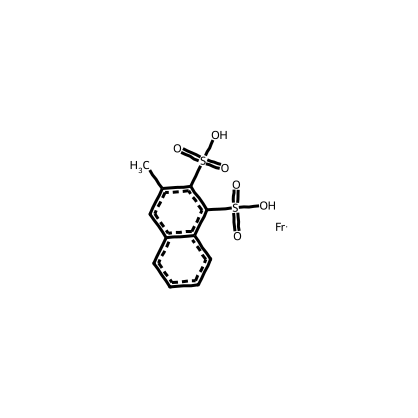 Cc1cc2ccccc2c(S(=O)(=O)O)c1S(=O)(=O)O.[Fr]